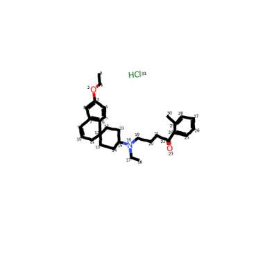 CCOc1ccc2c(c1)C=CCC21CCC(N(CC)CCCC(=O)c2ccccc2C)CC1.Cl